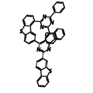 c1ccc(-c2nc(-c3ccccc3)nc(-c3cccc4sc5ccc(-c6nc(-c7ccc8c(c7)sc7ccccc78)nc7c6oc6ccccc67)cc5c34)n2)cc1